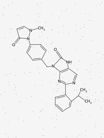 CC(C)c1ccccc1-c1ncc2[nH]c(=O)n(Cc3ccc(-n4c(=O)ccn4C)cc3)c2n1